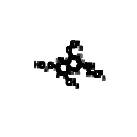 Cc1cc(C(=O)O)nc2c(OC(F)(F)F)cc(NCC(F)(F)F)cc12